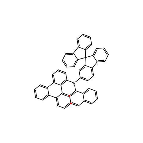 c1ccc2c(c1)-c1ccccc1C21c2ccccc2-c2ccc(N(c3cccc4ccccc34)c3cccc4c5ccccc5c5ccccc5c34)cc21